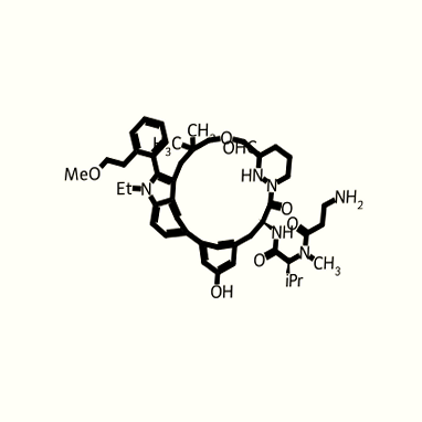 CCn1c(-c2ccccc2CCOC)c2c3cc(ccc31)-c1cc(O)cc(c1)C[C@H](NC(=O)[C@H](C(C)C)N(C)C(=O)CCN)C(=O)N1CCCC(C=O)(COCC(C)(C)C2)N1